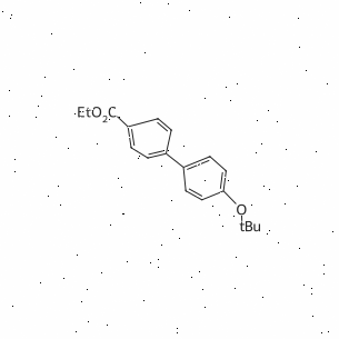 CCOC(=O)c1ccc(-c2ccc(OC(C)(C)C)cc2)cc1